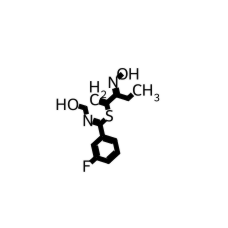 C=C(S/C(=N\CO)c1cccc(F)c1)/C(CC)=N/O